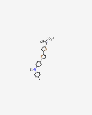 [C-]#[N+]/C(=C\c1ccc(-c2ccc(-c3ccc(N(CC)c4ccc(C)cc4)cc3)s2)s1)C(=O)O